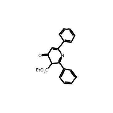 CCOC(=O)C1C(=O)C=C(c2ccccc2)N=C1c1ccccc1